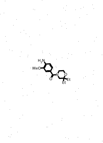 CCC1(CC)CN(C(=O)c2ccc(N)c(OC)c2)CCO1